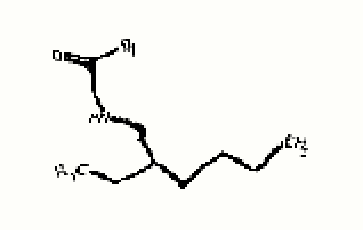 CCCCC(CC)CNC(=O)S